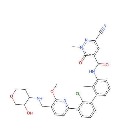 COc1nc(-c2cccc(-c3cccc(NC(=O)c4cc(C#N)nn(C)c4=O)c3C)c2Cl)ccc1CNC1CCOCC1O